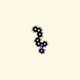 c1ccc(-n2c3ccccc3c3c4cc(-c5ccc6ccc7ccccc7c6c5)ccc4ccc32)cc1